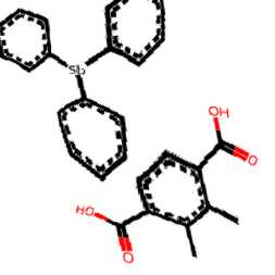 Cc1c(C(=O)O)ccc(C(=O)O)c1C.c1cc[c]([Sb]([c]2ccccc2)[c]2ccccc2)cc1